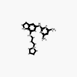 Cc1cc(N)nc(Nc2cc3c(c(OCCCN4CCCC4)c2)OCC3)n1